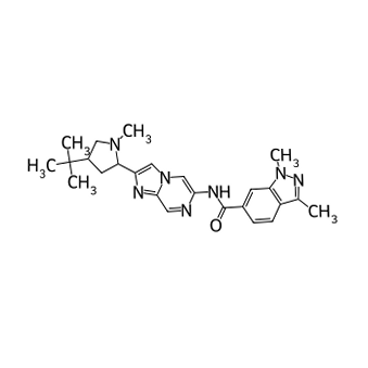 Cc1nn(C)c2cc(C(=O)Nc3cn4cc(C5CC(C(C)(C)C)CN5C)nc4cn3)ccc12